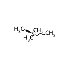 CC#C[Si](C)(C)CCCC